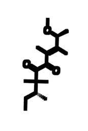 CC[C@@H](C)C(C)(C)C(=O)C(=O)/C(C)=C(\C)[C@H](C)OC